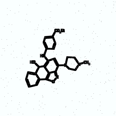 CCOC(=O)c1ccc(Nc2cc(N3CCN(C)CC3)c3noc4c3c2C(O)c2ccccc2-4)cc1